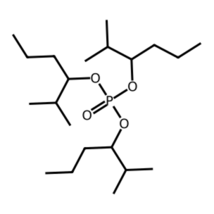 CCCC(OP(=O)(OC(CCC)C(C)C)OC(CCC)C(C)C)C(C)C